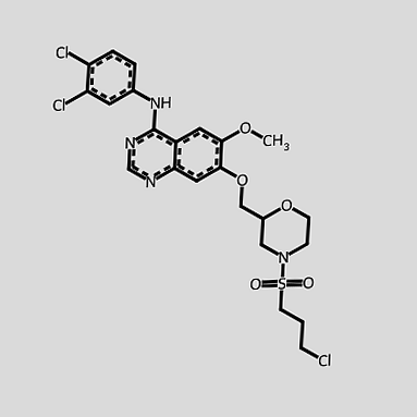 COc1cc2c(Nc3ccc(Cl)c(Cl)c3)ncnc2cc1OCC1CN(S(=O)(=O)CCCCl)CCO1